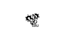 CC(C)(C)OC(=O)N(c1ccccn1)c1ncccn1